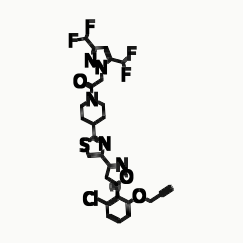 C#CCOc1cccc(Cl)c1[C@H]1CC(c2csc(C3CCN(C(=O)Cn4nc(C(F)F)cc4C(F)F)CC3)n2)=NO1